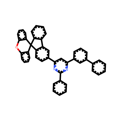 c1ccc(-c2cccc(-c3cc(-c4ccc5c(c4)-c4ccccc4C54c5ccccc5Oc5ccccc54)nc(-c4ccccc4)n3)c2)cc1